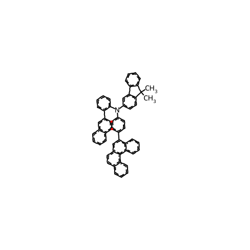 CC1(C)c2ccccc2-c2cc(N(c3ccc(-c4cc5ccc6ccccc6c5c5ccccc45)cc3)c3ccccc3-c3ccc4ccccc4c3)ccc21